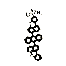 C[Si](C)(C)c1ccc2c(c1)Oc1ccc(-c3c4ccccc4c(-c4ccc5c6c(cccc46)Oc4ccccc4-5)c4ccccc34)c3cccc-2c13